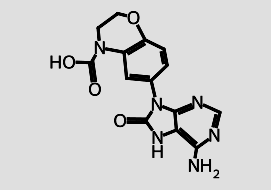 Nc1ncnc2c1[nH]c(=O)n2-c1ccc2c(c1)N(C(=O)O)CCO2